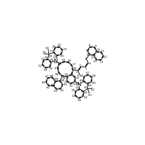 C/C(=C\C=C/Cc1cccc2ccccc12)c1cccc(N2c3ccccc3C(C)(C)c3ccccc32)ccc(-c2cccc3ccccc23)c2ccc(N3c4ccccc4C(C)(C)c4ccccc43)cc12